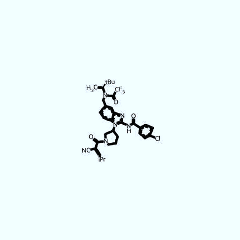 CC(C)C=C(C#N)C(=O)N1CCCC(n2c(NC(=O)c3ccc(Cl)cc3)nc3cc(CN(C(=O)C(F)(F)F)[C@@H](C)C(C)(C)C)ccc32)C1